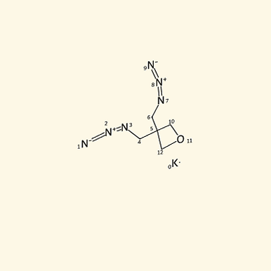 [K].[N-]=[N+]=NCC1(CN=[N+]=[N-])COC1